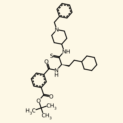 CC(C)(C)OC(=O)c1cccc(C(=O)N[C@H](CCC2CCCCC2)C(=S)NC2CCN(Cc3ccccc3)CC2)c1